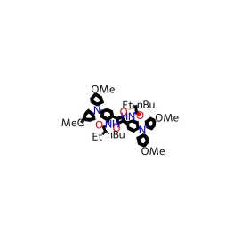 CCCCC(CC)C(=O)NC1=CC(=[N+](c2ccc(OC)cc2)c2ccc(OC)cc2)C=C/C1=C1\C(=O)C(c2ccc(N(c3ccc(OC)cc3)c3ccc(OC)cc3)cc2NC(=O)C(CC)CCCC)=C1[O-]